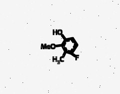 COc1c(O)ccc(F)c1C